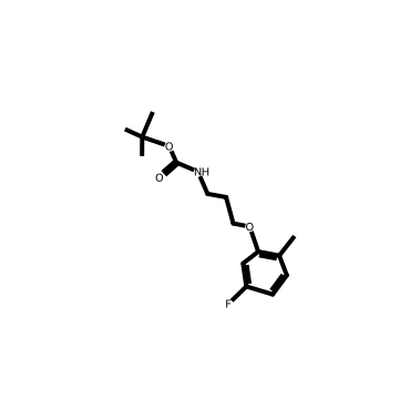 Cc1ccc(F)cc1OCCCNC(=O)OC(C)(C)C